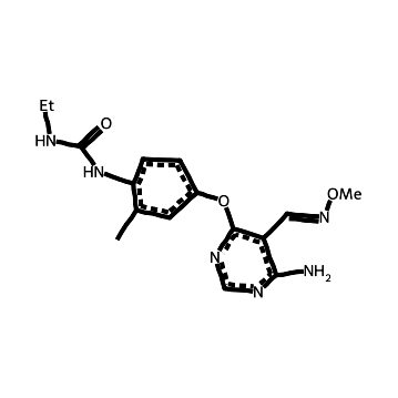 CCNC(=O)Nc1ccc(Oc2ncnc(N)c2/C=N/OC)cc1C